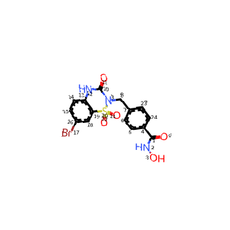 O=C(NO)c1ccc(CN2C(=O)Nc3ccc(Br)cc3S2(=O)=O)cc1